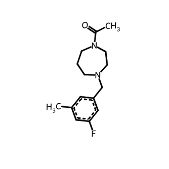 CC(=O)N1CCCN(Cc2cc(C)cc(F)c2)CC1